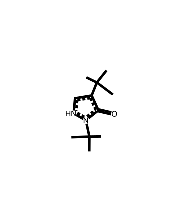 CC(C)(C)c1c[nH]n(C(C)(C)C)c1=O